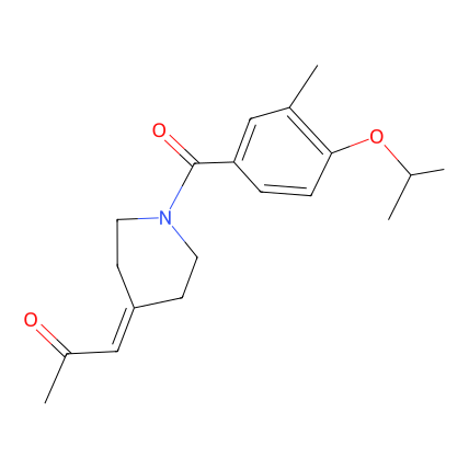 CC(=O)C=C1CCN(C(=O)c2ccc(OC(C)C)c(C)c2)CC1